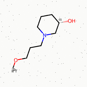 CC(C)OCCCN1CCC[C@H](O)C1